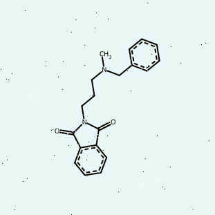 CN(CCCN1C(=O)c2ccccc2C1=O)Cc1ccccc1